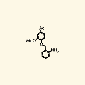 COc1cc(C(C)=O)ccc1OCc1ccccc1N